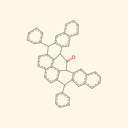 O=C1C2c3cc4ccccc4cc3C(c3ccccc3)c3ccc4ccc5c(c4c32)C1c1cc2ccccc2cc1C5c1ccccc1